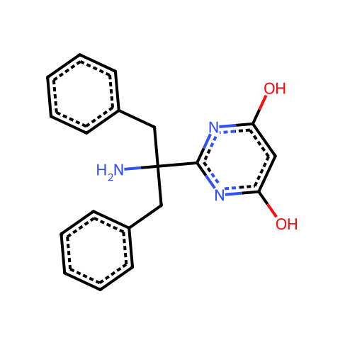 NC(Cc1ccccc1)(Cc1ccccc1)c1nc(O)cc(O)n1